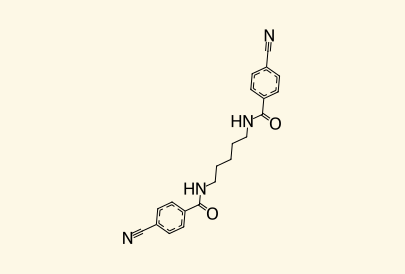 N#Cc1ccc(C(=O)NCCCCCNC(=O)c2ccc(C#N)cc2)cc1